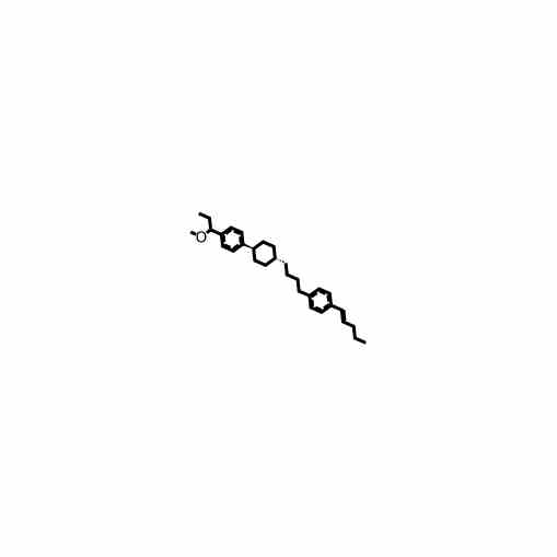 CCCC=Cc1ccc(CCCC[C@H]2CC[C@H](c3ccc(C(CC)OC)cc3)CC2)cc1